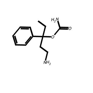 CCC(CCN)(OC(N)=O)c1ccccc1